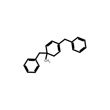 CC1(Cc2ccccc2)C=CC(Cc2ccccc2)=CC1